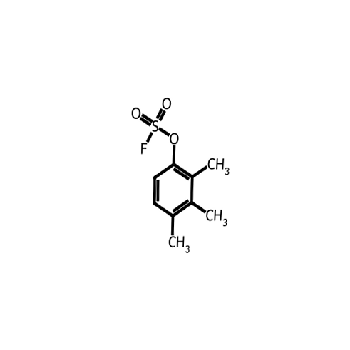 Cc1ccc(OS(=O)(=O)F)c(C)c1C